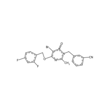 Cc1nc(OCc2ccc(F)cc2F)c(Br)c(=O)n1Cc1cccc(C#N)c1